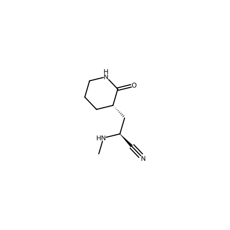 CN[C@H](C#N)C[C@@H]1CCCNC1=O